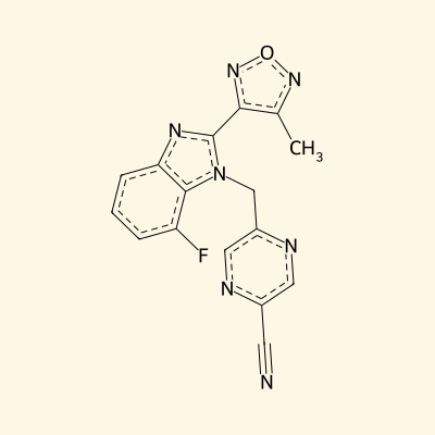 Cc1nonc1-c1nc2cccc(F)c2n1Cc1cnc(C#N)cn1